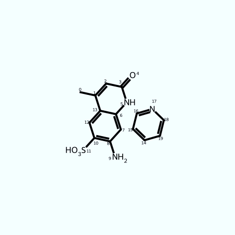 Cc1cc(=O)[nH]c2cc(N)c(S(=O)(=O)O)cc12.c1ccncc1